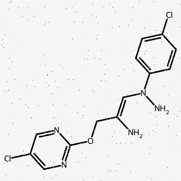 N/C(=C\N(N)c1ccc(Cl)cc1)COc1ncc(Cl)cn1